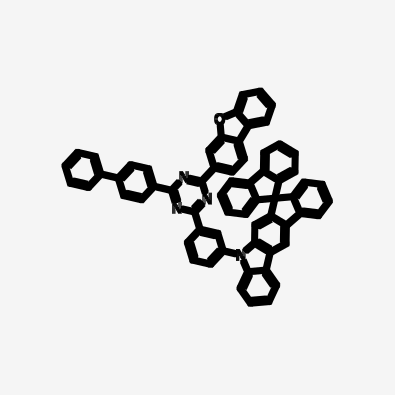 c1ccc(-c2ccc(-c3nc(-c4cccc(-n5c6ccccc6c6cc7c(cc65)C5(c6ccccc6-c6ccccc65)c5ccccc5-7)c4)nc(-c4ccc5c(c4)oc4ccccc45)n3)cc2)cc1